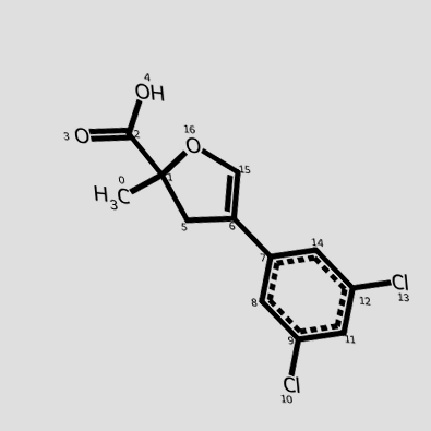 CC1(C(=O)O)CC(c2cc(Cl)cc(Cl)c2)=CO1